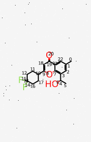 Cc1cc(C(C)O)c2oc(C3CCC(F)(F)CC3)cc(=O)c2c1